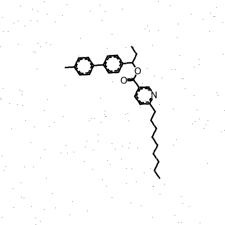 CCCCCCCCCc1ccc(C(=O)OC(CC)c2ccc(-c3ccc(C)cc3)cc2)cn1